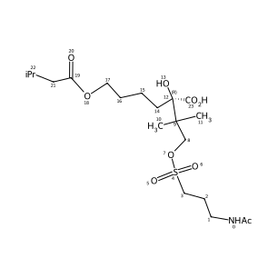 CC(=O)NCCCS(=O)(=O)OCC(C)(C)[C@](O)(CCCCOC(=O)CC(C)C)C(=O)O